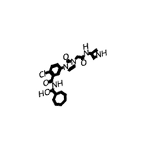 O=C(Cn1ccn(-c2ccc(Cl)c(C(=O)NC(O)C3CCCCCC3)c2)c1=O)NC1CNC1